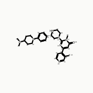 CN(C)C1CCN(c2ccc([C@H]3CN(c4nc(-c5ccncc5F)cc(=O)n4C)CCN3)cc2)CC1